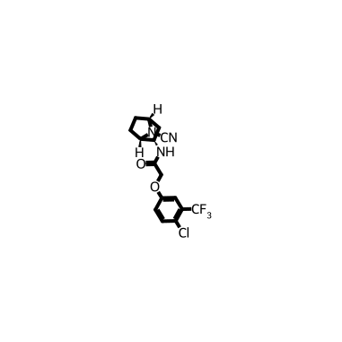 N#CN1[C@@H]2CC[C@H]1[C@@H](NC(=O)COc1ccc(Cl)c(C(F)(F)F)c1)C2